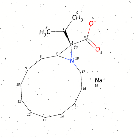 CC(C)[C@]1(C(=O)[O-])C2CCCCCCCCCCN21.[Na+]